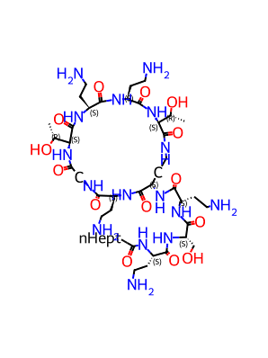 CCCCCCCC(=O)N[C@@H](CCN)C(=O)N[C@@H](CO)C(=O)N[C@@H](CCN)C(=O)N[C@H]1CCNC(=O)[C@H]([C@@H](C)O)NC(=O)[C@H](CCN)NC(=O)[C@H](CCN)NC(=O)[C@H]([C@@H](C)O)NC(=O)CNC(=O)[C@H](CCN)NC1=O